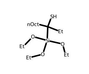 CCCCCCCCC(S)(CC)[Si](OCC)(OCC)OCC